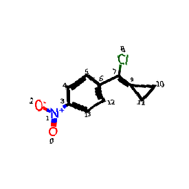 O=[N+]([O-])c1ccc(C(Cl)=C2CC2)cc1